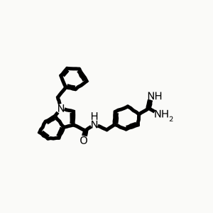 N=C(N)C1C=CC(CNC(=O)c2cn(Cc3ccccc3)c3ccccc23)=CC1